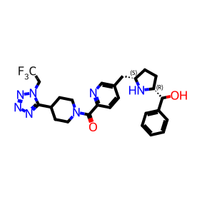 O=C(c1ccc(C[C@@H]2CC[C@H](C(O)c3ccccc3)N2)cn1)N1CCC(c2nnnn2CC(F)(F)F)CC1